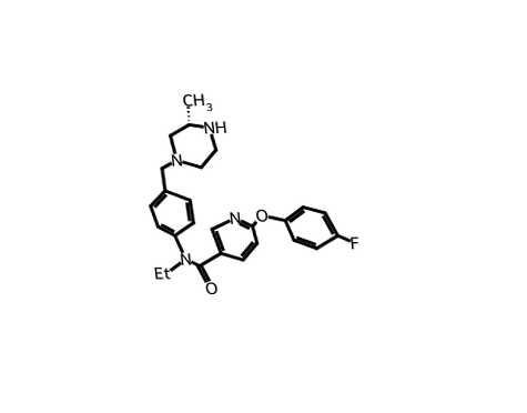 CCN(C(=O)c1ccc(Oc2ccc(F)cc2)nc1)c1ccc(CN2CCN[C@@H](C)C2)cc1